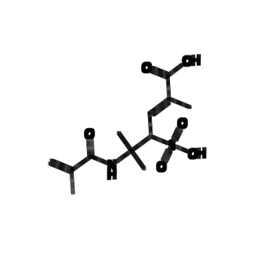 C=C(C)C(=O)NC(C)(C)C(C=C(C)C(=O)O)S(=O)(=O)O